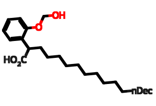 CCCCCCCCCCCCCCCCCCCCC(C(=O)O)c1ccccc1OCO